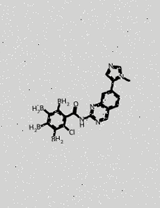 Bc1c(B)c(B)c(C(=O)Nc2ncc3ccc(-c4cncn4C)cc3n2)c(Cl)c1B